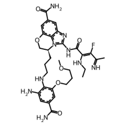 CCN/C(C(=O)Nc1nc2cc(C(N)=O)cc3c2n1[C@@H](CCCNc1c(N)cc(C(N)=O)cc1OCCCOC)CO3)=C(/F)C(C)=N